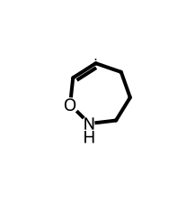 [C]1=CONCCC1